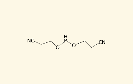 N#CCCOPOCCC#N